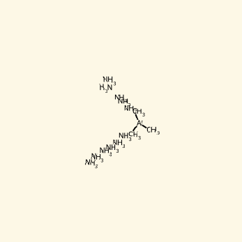 N.N.N.N.N.N.N.N.N.N.N.[CH3][Al]([CH3])[CH3]